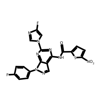 O=C(Nc1nc(-n2cnc(F)c2)nc2c1cnn2-c1ccc(F)cc1)c1ccc([N+](=O)[O-])s1